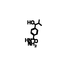 CC(C)C(O)c1ccc(C(=O)NN)cc1